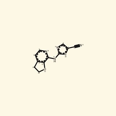 N#Cc1cnc(Nc2nccc3c2OCC3)s1